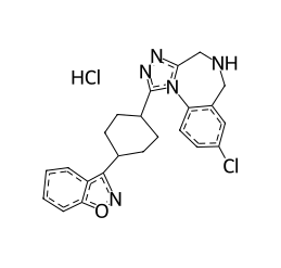 Cl.Clc1ccc2c(c1)CNCc1nnc(C3CCC(c4noc5ccccc45)CC3)n1-2